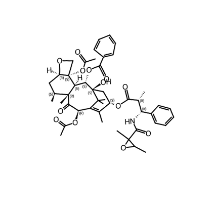 CC(=O)O[C@H]1C(=O)[C@@]2(C)[C@H]([C@H](OC(=O)c3ccccc3)[C@]3(O)C[C@H](OC(=O)[C@H](C)[C@@H](NC(=O)C4(C)OC4C)c4ccccc4)C(C)=C1C3(C)C)[C@]1(OC(C)=O)CO[C@@H]1C[C@@H]2C